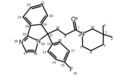 CC1(C)CCCN(C(=O)CCC2(c3ccc(F)cc3)c3ccccc3-c3nccn32)C1